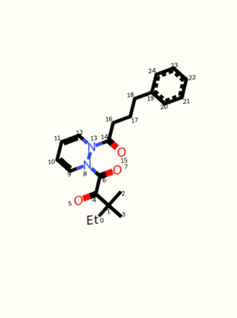 CCC(C)(C)C(=O)C(=O)N1C=CC=CN1C(=O)CCCc1ccccc1